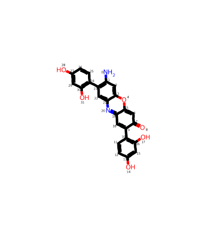 Nc1cc2oc3cc(=O)c(-c4ccc(O)cc4O)cc-3nc2cc1-c1ccc(O)cc1O